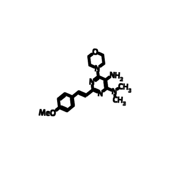 COc1ccc(C=Cc2nc(N(C)C)c(N)c(N3CCOCC3)n2)cc1